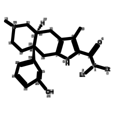 CCN(CC)C(=O)c1[nH]c2c(c1C)C[C@@H]1CN(C)CC[C@@]1(c1cccc(O)c1)C2